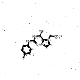 Cc1ccc(NC(=O)N[C@H](c2nccn2CC(=O)O)C(C)C)cc1